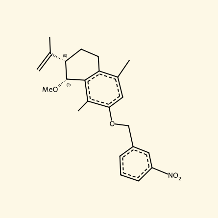 C=C(C)[C@@H]1CCc2c(C)cc(OCc3cccc([N+](=O)[O-])c3)c(C)c2[C@@H]1OC